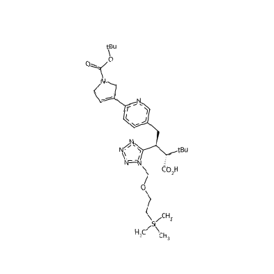 CC(C)(C)OC(=O)N1CC=C(c2ccc(C[C@H](c3nnnn3COCC[Si](C)(C)C)[C@@H](C(=O)O)C(C)(C)C)cn2)C1